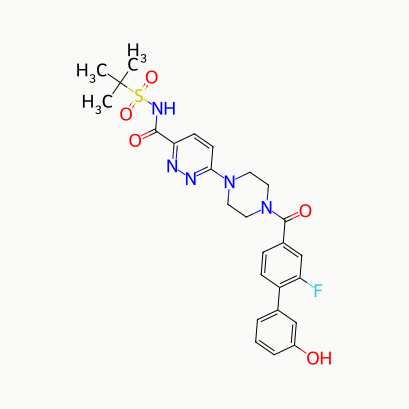 CC(C)(C)S(=O)(=O)NC(=O)c1ccc(N2CCN(C(=O)c3ccc(-c4cccc(O)c4)c(F)c3)CC2)nn1